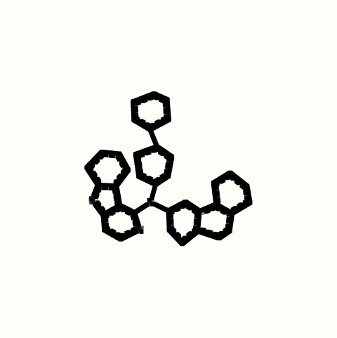 c1ccc(-c2ccc(N(c3ccc4ccc5ccccc5c4c3)c3nccc4sc5ccccc5c34)cc2)cc1